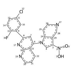 O=[N+](O)c1cn(-c2cc(-c3cc(Cl)ccc3F)nc3ncccc23)c2ccncc12